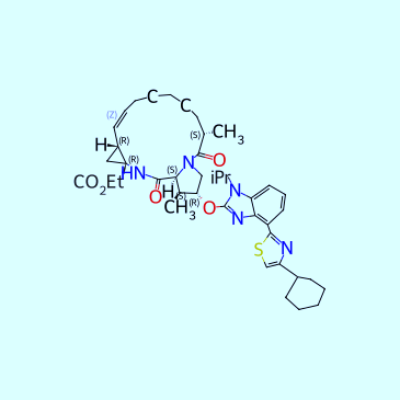 CCOC(=O)[C@@]12C[C@@H]1/C=C\CCCCC[C@H](C)C(=O)N1C[C@H](Oc3nc4c(-c5nc(C6CCCCC6)cs5)cccc4n3C(C)C)[C@@H](C)[C@H]1C(=O)N2